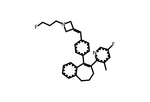 Cc1cc(F)cnc1C1=C(c2ccc(C=C3CN(CCCF)C3)cc2)c2ccccc2CCC1